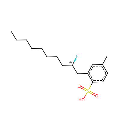 CCCCCCCC[C@@H](F)Cc1cc(C)ccc1S(=O)(=O)O